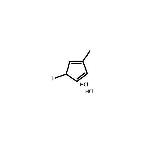 CC1=C[CH]([Ti])C=C1.Cl.Cl